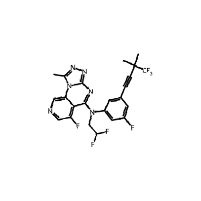 Cc1nnc2nc(N(CC(F)F)c3cc(F)cc(C#CC(C)(C)C(F)(F)F)c3)c3c(F)cncc3n12